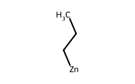 CC[CH2][Zn]